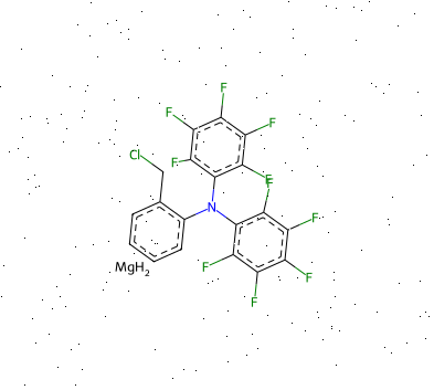 Fc1c(F)c(F)c(N(c2ccccc2CCl)c2c(F)c(F)c(F)c(F)c2F)c(F)c1F.[MgH2]